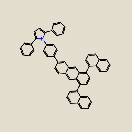 c1ccc(-c2ccc(-c3ccccc3)n2-c2ccc(-c3ccc4cc5c(-c6cccc7ccccc67)ccc(-c6cccc7ccccc67)c5cc4c3)cc2)cc1